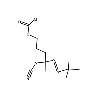 CC(C)(C)/N=N/C(C)(CCCOC(=O)Cl)SC#N